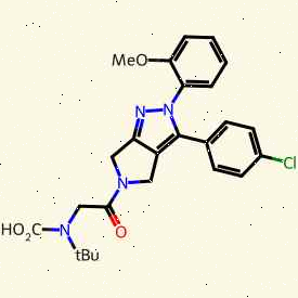 COc1ccccc1-n1nc2c(c1-c1ccc(Cl)cc1)CN(C(=O)CN(C(=O)O)C(C)(C)C)C2